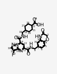 O=C1COc2ccc(CNC(=O)c3cc(C(=O)NCC4CCC(C(=O)O)CC4)n4ncc(F)c4n3)cc2N1